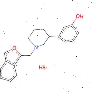 Br.Oc1cccc(C2CCCN(Cc3occ4ccccc34)C2)c1